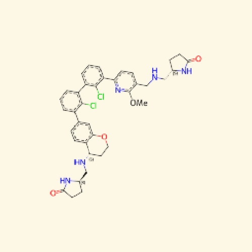 COc1nc(-c2cccc(-c3cccc(-c4ccc5c(c4)OCC[C@@H]5NC[C@H]4CCC(=O)N4)c3Cl)c2Cl)ccc1CNC[C@@H]1CCC(=O)N1